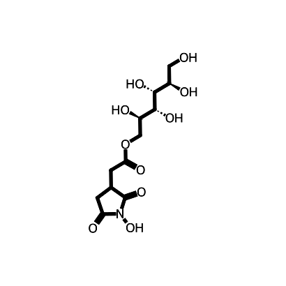 O=C(CC1CC(=O)N(O)C1=O)OC[C@@H](O)[C@@H](O)[C@H](O)[C@H](O)CO